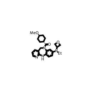 CCN(c1ccc2c(c1)N(C(=O)[C@H]1CC[C@H](OC)CC1)Cc1cccnc1N2)C1COC1